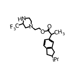 CC(C(=O)OCCN1CCNC(C(F)(F)F)C1)c1ccc2c(c1)CC(C(C)C)C2